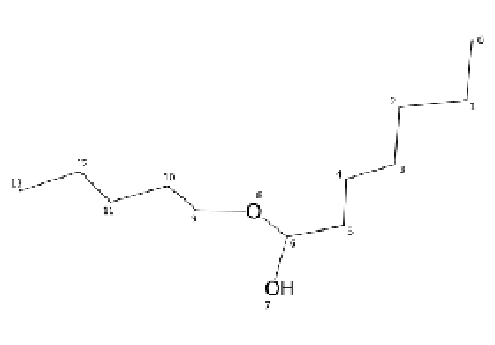 CCCCCCC(O)OCCCCC